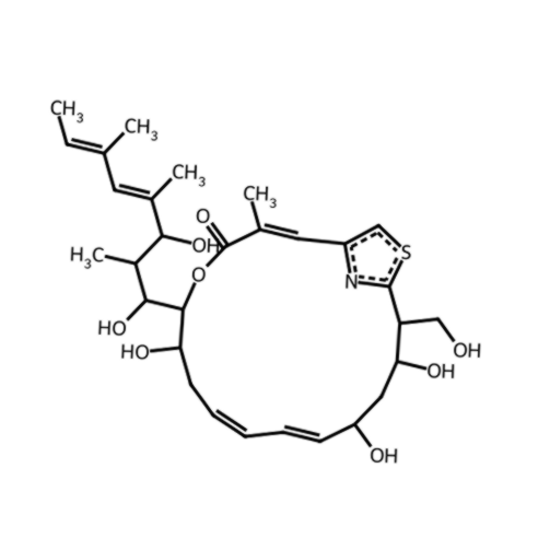 C/C=C(C)/C=C(\C)C(O)C(C)C(O)C1OC(=O)/C(C)=C/c2csc(n2)C(CO)C(O)CC(O)/C=C/C=C\CC1O